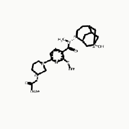 CCCSc1nc(N2CCC[C@@H](CC(=O)OC)C2)ccc1C(=O)N(C)[C@@H]1CCC2C[C@@]3(O)CC2CC1C3